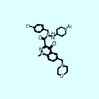 CC(=O)N1CCC(NN(Cc2ccc(Cl)cc2)C(=O)c2nn(C)c3ccc(CN4CCOCC4)cc3c2=O)CC1